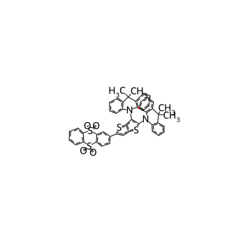 CC1(C)c2ccccc2N(c2sc3cc(-c4ccc5c(c4)S(=O)(=O)c4ccccc4S5(=O)=O)sc3c2N2c3ccccc3C(C)(C)c3ccccc32)c2ccccc21